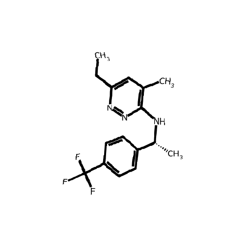 CCc1cc(C)c(N[C@H](C)c2ccc(C(F)(F)F)cc2)nn1